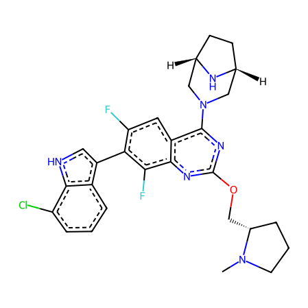 CN1CCC[C@H]1COc1nc(N2C[C@H]3CC[C@@H](C2)N3)c2cc(F)c(-c3c[nH]c4c(Cl)cccc34)c(F)c2n1